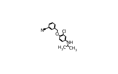 CC(C)Nc1ccc(OCc2cccc(C#N)c2)c(Cl)c1